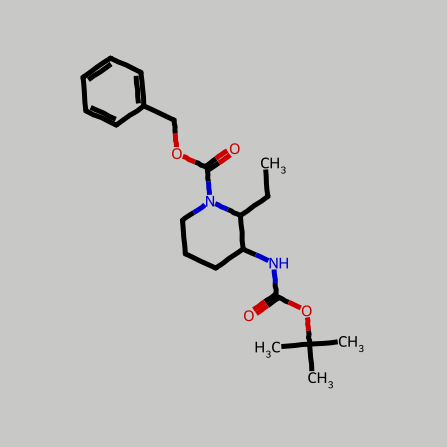 CCC1C(NC(=O)OC(C)(C)C)CCCN1C(=O)OCc1ccccc1